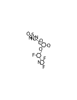 COc1cc(OCc2cc(F)cc(-c3ncc(F)cc3F)c2)c2cc(-c3cn4nc(OC)sc4n3)oc2c1